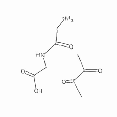 CC(=O)C(C)=O.NCC(=O)NCC(=O)O